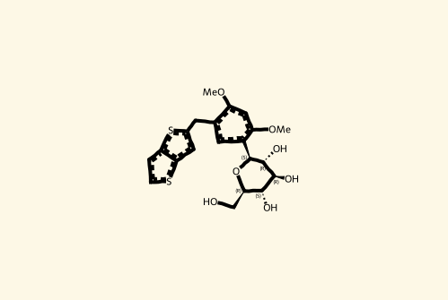 COc1cc(OC)c([C@@H]2O[C@H](CO)[C@@H](O)[C@H](O)[C@H]2O)cc1Cc1cc2sccc2s1